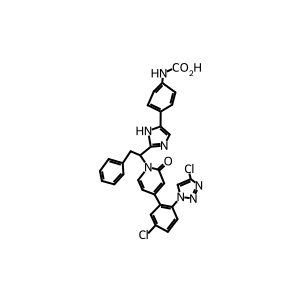 O=C(O)Nc1ccc(-c2cnc(C(Cc3ccccc3)n3ccc(-c4cc(Cl)ccc4-n4cc(Cl)nn4)cc3=O)[nH]2)cc1